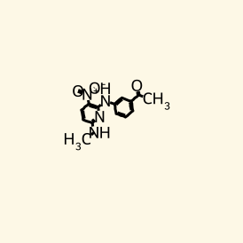 CNc1ccc([N+](=O)[O-])c(Nc2cccc(C(C)=O)c2)n1